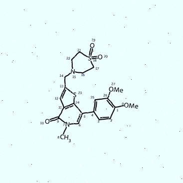 COc1ccc(-c2cn(C)c(=O)c3cc(CN4CCS(=O)(=O)CC4)sc23)cc1OC